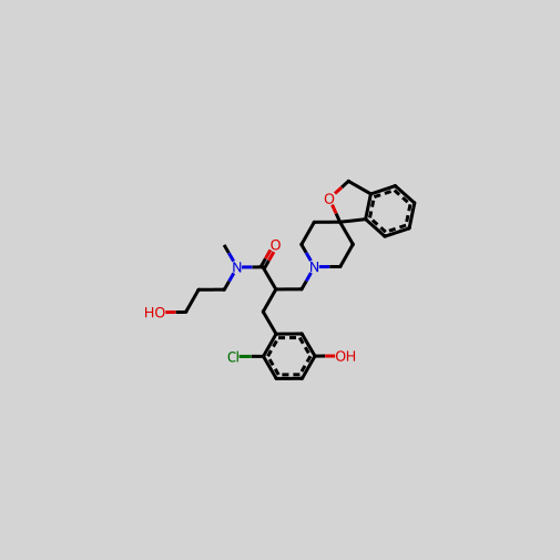 CN(CCCO)C(=O)C(Cc1cc(O)ccc1Cl)CN1CCC2(CC1)OCc1ccccc12